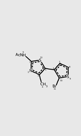 CC(=O)Nc1nc(C)c(-c2ccsc2Br)s1